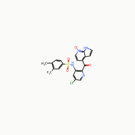 Cc1ccc(S(=O)(=O)Nc2cc(Cl)cnc2C(=O)c2cc[n+]([O-])c3[nH]ccc23)cc1C(F)(F)F